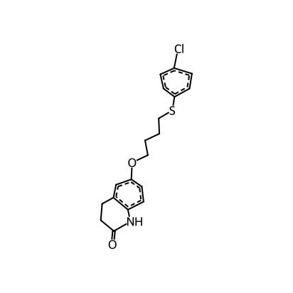 O=C1CCc2cc(OCCCCSc3ccc(Cl)cc3)ccc2N1